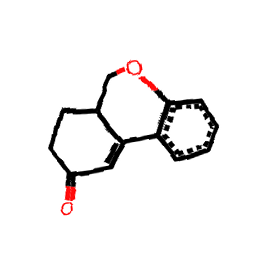 O=C1C=C2c3ccccc3OCC2CC1